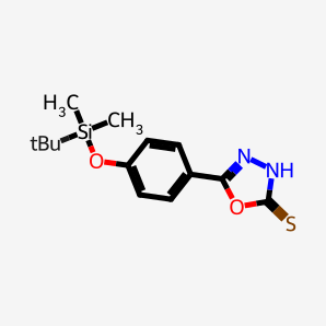 CC(C)(C)[Si](C)(C)Oc1ccc(-c2n[nH]c(=S)o2)cc1